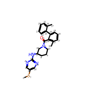 CSc1cnc(NC2CCCN(C(=O)c3c(C)cccc3-c3ccccc3C)C2)nc1